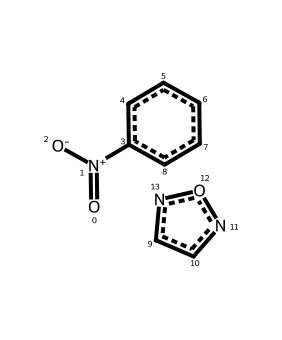 O=[N+]([O-])c1ccccc1.c1cnon1